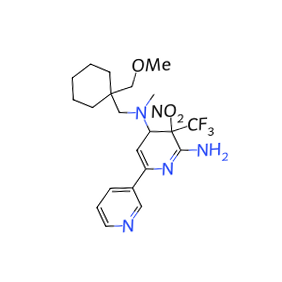 COCC1(CN(C)C2C=C(c3cccnc3)N=C(N)C2([N+](=O)[O-])C(F)(F)F)CCCCC1